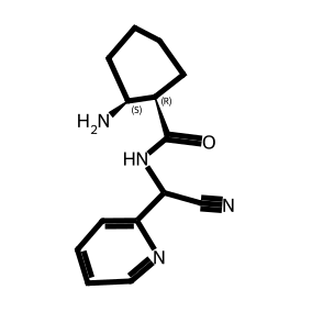 N#CC(NC(=O)[C@@H]1CCCC[C@@H]1N)c1ccccn1